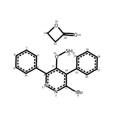 CC(C)(C)c1nnc(-c2ccccc2)c(O[SiH3])c1-c1ccccc1.O=C1CCO1